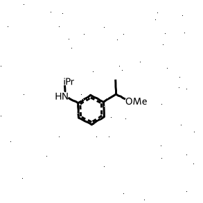 COC(C)c1cccc(NC(C)C)c1